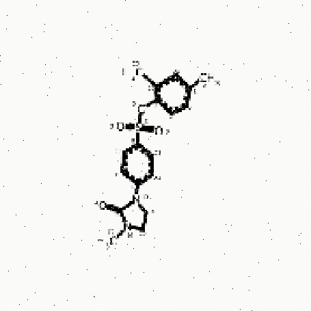 Cc1ccc(OS(=O)(=O)c2ccc(N3CCN(C)C3=O)cc2)c(C)c1